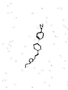 CCCOC/C=C/[C@H]1CC[C@H](c2ccc(C#N)cc2)CC1